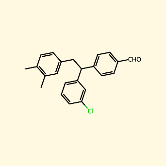 Cc1ccc(CC(c2ccc(C=O)cc2)c2cccc(Cl)c2)cc1C